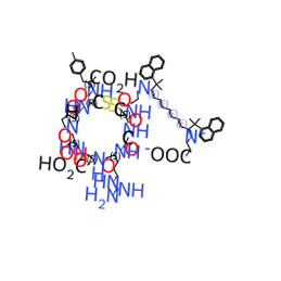 Cc1ccc(C[C@H](NC(=O)[C@@H]2CSSC[C@@H](NC(=O)CCN3/C(=C/C=C/C=C/C=C/C4=[N+](CCC(=O)[O-])c5ccc6ccccc6c5C4(C)C)C(C)(C)c4c3ccc3ccccc43)C(=O)NCC(=O)N[C@@H](CCCNC(=N)N)C(=O)N[C@@H](CC(=O)O)C(=O)N[C@@H](CO)C(=O)N3CCC[C@H]3C(=O)N2)C(=O)O)cc1